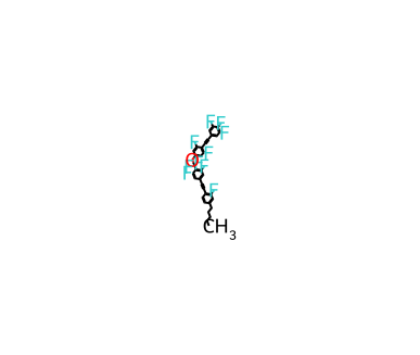 CCCCCc1ccc(C#Cc2cc(F)c(C(F)(F)Oc3cc(F)c(C#Cc4cc(F)c(F)c(F)c4)c(F)c3)c(F)c2)c(F)c1